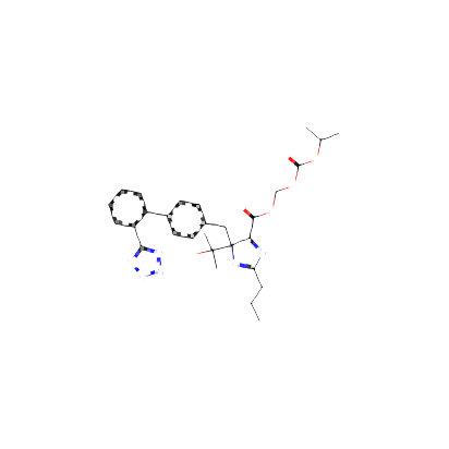 CCCC1=NC(Cc2ccc(-c3ccccc3-c3nnn[nH]3)cc2)(C(C)(C)O)C(C(=O)OCOC(=O)OC(C)C)=N1